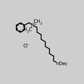 CCCCCCCCCCCCCCCCCCCC[N+](C)(C)Cc1ccccc1.[Cl-]